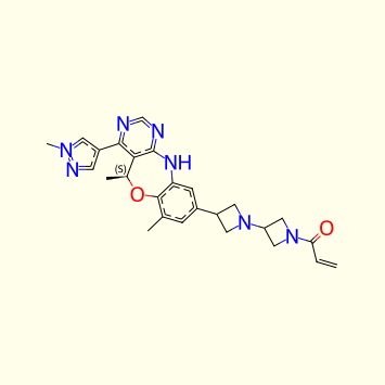 C=CC(=O)N1CC(N2CC(c3cc(C)c4c(c3)Nc3ncnc(-c5cnn(C)c5)c3[C@H](C)O4)C2)C1